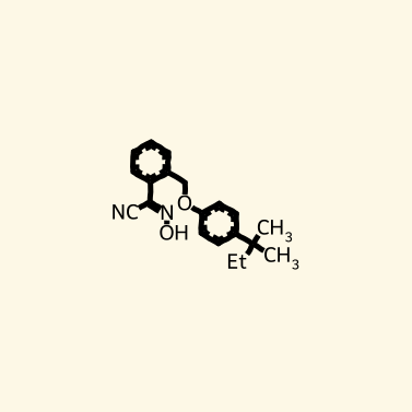 CCC(C)(C)c1ccc(OCc2ccccc2C(C#N)=NO)cc1